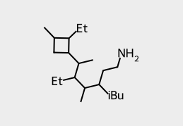 CCC(C)C(CCN)C(C)C(CC)C(C)C1CC(C)C1CC